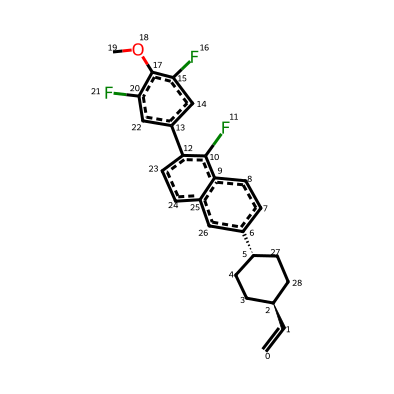 C=C[C@H]1CC[C@H](c2ccc3c(F)c(-c4cc(F)c(OC)c(F)c4)ccc3c2)CC1